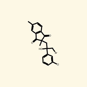 Cc1ccc2c(c1)C(=O)C(C)(CC(O)(CBr)c1cccc(Cl)c1)C2=O